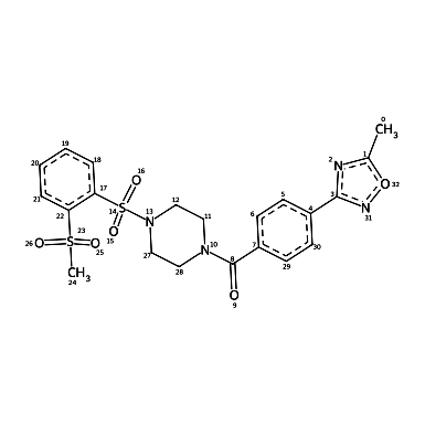 Cc1nc(-c2ccc(C(=O)N3CCN(S(=O)(=O)c4ccccc4S(C)(=O)=O)CC3)cc2)no1